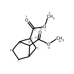 COC(=O)C1CC2CCC1C2C(=O)OC